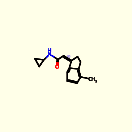 Cc1cccc2c1CC/C2=C/C(=O)NC1CC1